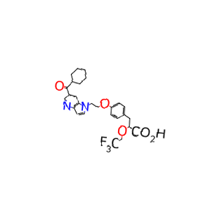 O=C(c1cnc2ccn(CCOc3ccc(C[C@H](OCC(F)(F)F)C(=O)O)cc3)c2c1)C1CCCCC1